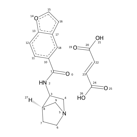 O=C(NC1CN2CC[C@@H]1C2)c1ccc2occc2c1.O=C(O)/C=C/C(=O)O